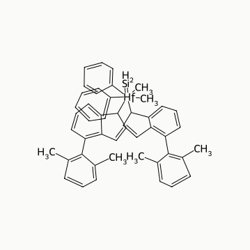 Cc1cccc(C)c1-c1cccc2c1C=C[CH]2[Hf]([CH3])([CH3])(=[SiH2])([c]1ccccc1)([c]1ccccc1)[CH]1C=Cc2c(-c3c(C)cccc3C)cccc21